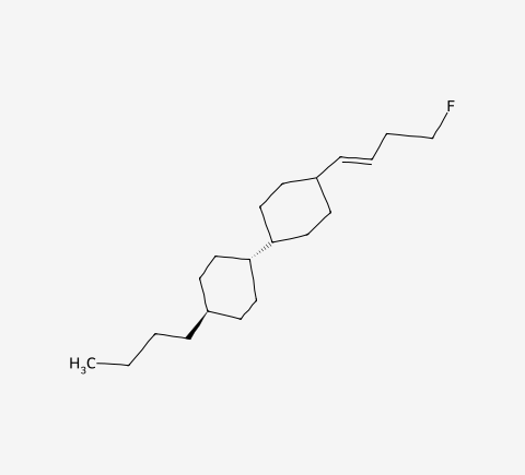 CCCC[C@H]1CC[C@H](C2CCC(/C=C/CCF)CC2)CC1